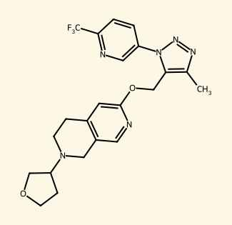 Cc1nnn(-c2ccc(C(F)(F)F)nc2)c1COc1cc2c(cn1)CN(C1CCOC1)CC2